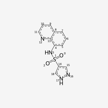 O=S(=O)(Nc1cccc2cccnc12)c1cn[nH]c1